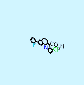 O=C(O)c1c2c(nc3cccc(Cl)c13)-c1ccc(-c3ccccc3F)cc1CCC2